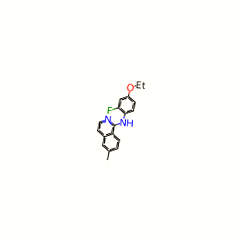 CCOc1ccc(Nc2nccc3cc(C)ccc23)c(F)c1